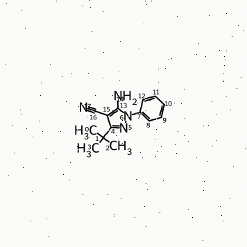 CC(C)(C)c1nn(-c2ccccc2)c(N)c1C#N